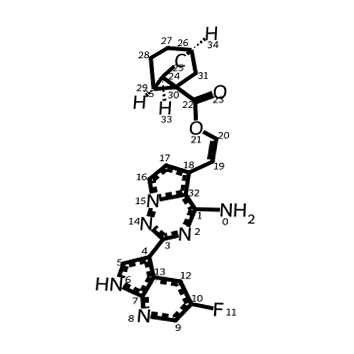 Nc1nc(-c2c[nH]c3ncc(F)cc23)nn2ccc(/C=C\OC(=O)[C@@H]3C[C@H]4CC[C@@H]3CC4)c12